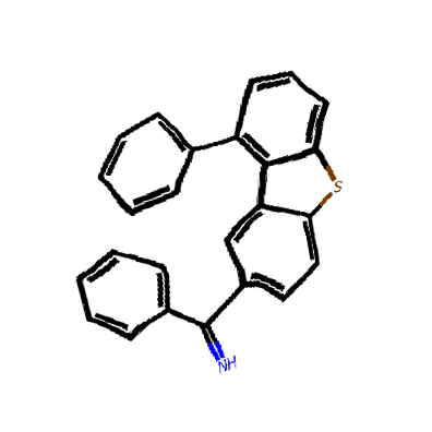 N=C(c1ccccc1)c1ccc2sc3cccc(-c4ccccc4)c3c2c1